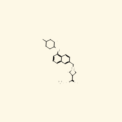 COC(=O)C1CN(Cc2ccc3c(OC4CCC(C)CC4)cccc3c2)C1